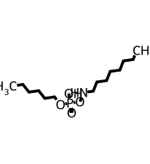 CCCCCCCCNOP(=O)(O)OCCCCCC